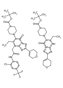 CCc1[nH]c2nc(C3=CCOCC3)nn2c(=O)c1N1CCN(C(=O)OC(C)(C)C)CC1.CCc1c(N2CCN(C(=O)OC(C)(C)C)CC2)c(=O)n2nc(C3=CCOCC3)nc2n1CC(=O)Nc1ccc(C(F)(F)F)cc1Cl